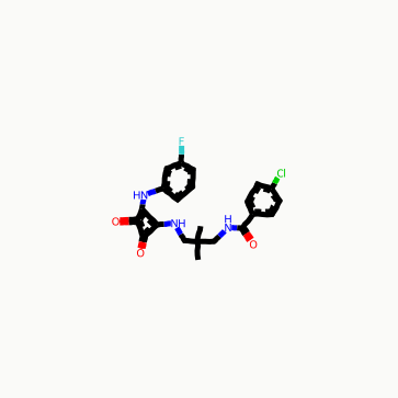 CC(C)(CNC(=O)c1ccc(Cl)cc1)CNc1c(Nc2cccc(F)c2)c(=O)c1=O